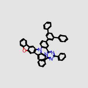 c1ccc(-c2cc(-c3ccccc3)cc(-c3ccc(-n4c5ccccc5c5cc6oc7ccccc7c6cc54)c(-c4nc(-c5ccccc5)nc(-c5ccccc5)n4)c3)c2)cc1